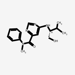 CC(C)[C@H](CO)Nc1cc(C(=O)N(C)c2ccccc2)ncn1